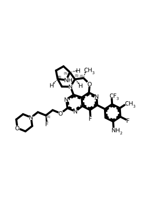 Cc1c(F)c(N)cc(-c2nc3c4c(nc(OC[C@@H](F)CN5CCOCC5)nc4c2F)N2C[C@H]4CC[C@H](N4)[C@H]2[C@H](C)O3)c1C(F)(F)F